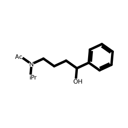 CC(=O)N(CCCC(O)c1ccccc1)C(C)C